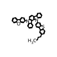 CCCCc1ccc2sc3cc(-n4c5ccccc5c5ccc6c(c7ccccc7n6-c6ccc7c(c6)oc6ccccc67)c54)ccc3c2c1